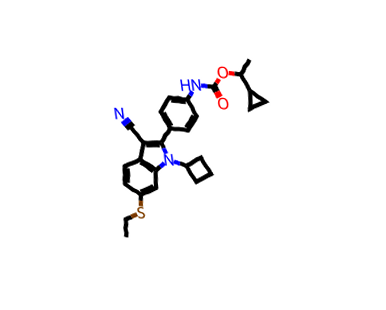 CCSc1ccc2c(C#N)c(-c3ccc(NC(=O)OC(C)C4CC4)cc3)n(C3CCC3)c2c1